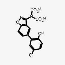 O=C(O)N(C(=O)O)c1noc2ccc(-c3cc(Cl)ccc3O)cc12